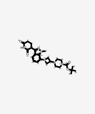 Cn1nc(C2CCC(=O)NC2=O)c2cccc(N3CC(N4CCN(C(=O)OC(C)(C)C)CC4)C3)c21